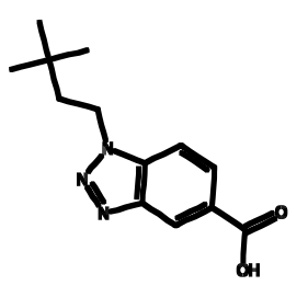 CC(C)(C)CCn1nnc2cc(C(=O)O)ccc21